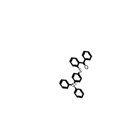 O=C(c1ccccc1)c1ccccc1Sc1ccc([S+](c2ccccc2)c2ccccc2)cc1